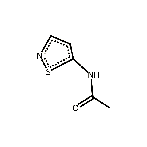 CC(=O)Nc1ccns1